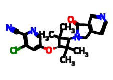 CC1(C)[C@H](Oc2cnc(C#N)c(Cl)c2)C(C)(C)[C@H]1N1Cc2ccncc2C1=O